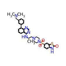 C[C@@H](CN1CCN(S(=O)(=O)c2ccc3[nH]c(=O)sc3c2)CC1)Nc1ncnc2c(-c3cccc(CN(C)C)c3)cccc12